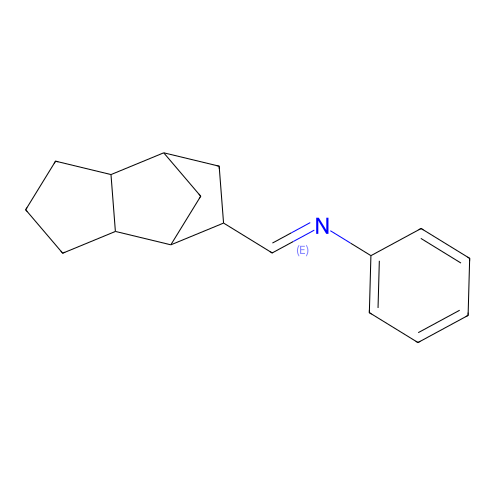 C(=N\c1ccccc1)/C1CC2CC1C1CCCC21